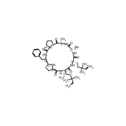 C=CC(C)(C)OC[C@@H]1NC(=O)[C@@H]([C@@H](C)OC(C)(C)C=C)NC(=O)[C@@H]2CS[C@H](N2)C(Cc2ccccc2)NC(=O)[C@H]2CCCN2C(=O)[C@H](C)NC(=O)[C@H]([C@@H](C)CC)NC1=O